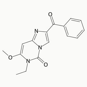 CCn1c(OC)cc2nc(C(=O)c3ccccc3)cn2c1=O